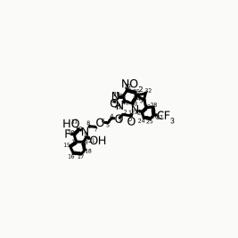 O=C(COCCOCCN1C(O)=C(F)c2ccccc2C1O)N(c1ccc(C(F)(F)F)cc1C1CC1)c1ccc([N+](=O)[O-])c2nonc12